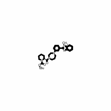 Cn1c(-c2cccc(N3CCCN(C(=O)[C@@H]4CCCCN4C(=O)OC(C)(C)C)CC3)c2)nc2ccccc21